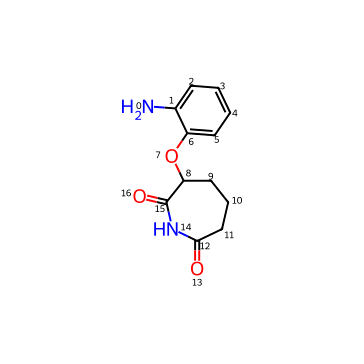 Nc1ccccc1OC1CCCC(=O)NC1=O